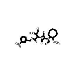 C=C(CCl)C(C(=O)OCc1cccc([N+](=O)[O-])c1)N1C(=O)C(N(C=O)C2CCCCCCC2OC)C1Cl